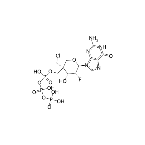 Nc1nc2c(ncn2[C@@H]2OC[C@](CCl)(COP(=O)(O)OP(=O)(O)OP(=O)(O)O)[C@@H](O)[C@H]2F)c(=O)[nH]1